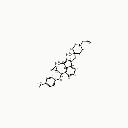 CC(=O)CN1CCC(O)(Cn2cc(C#N)c3c(N(Cc4ccc(C(F)(F)F)cc4)C4CC4)ncnc32)CC1